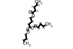 CCCCOOC(CCCOC(=O)CCCC)OOCCCC